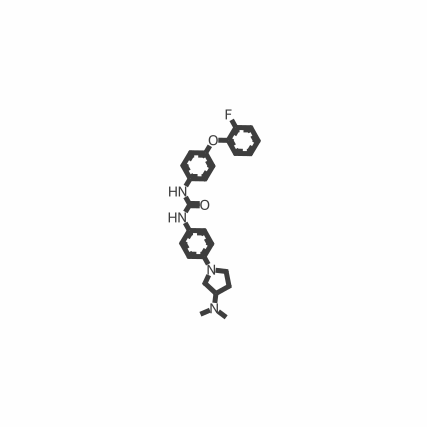 CN(C)C1CCN(c2ccc(NC(=O)Nc3ccc(Oc4ccccc4F)cc3)cc2)C1